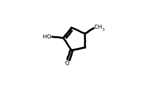 CC1C=C(O)C(=O)C1